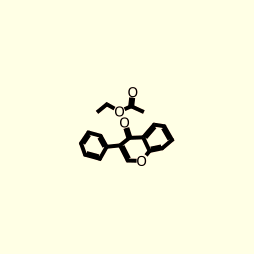 CCOC(C)=O.O=c1c(-c2ccccc2)coc2ccccc12